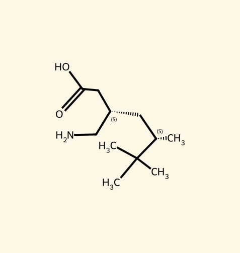 C[C@@H](C[C@H](CN)CC(=O)O)C(C)(C)C